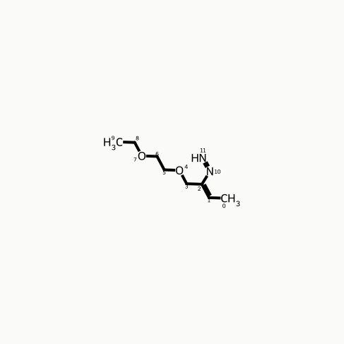 C/C=C(/COCCOCC)N=N